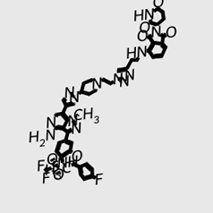 CC(Oc1cc(-c2nn(C)c3c(-c4cnn(C5CCN(CCn6cc(CCNc7cccc8c7C(=O)N(C7CCC(=O)NC7=O)C8=O)nn6)CC5)c4)cnc(N)c23)ccc1NS(=O)(=O)C(F)F)c1ccc(F)cc1